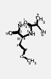 CSCC[C@H](NC(=O)C(C)S)C(N)=O